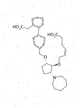 O=C(O)CC/C=C\CO[C@@H]1[C@@H](OCc2ccc(-c3ccccc3CC(=O)O)cc2)CC[C@H]1N1CCCCCC1